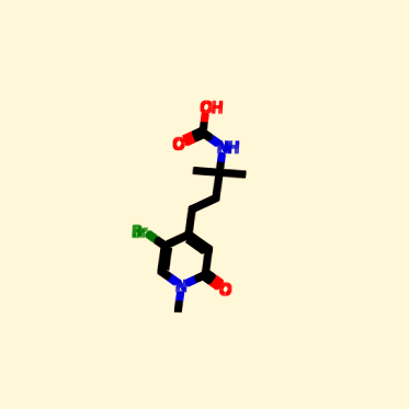 Cn1cc(Br)c(CCC(C)(C)NC(=O)O)cc1=O